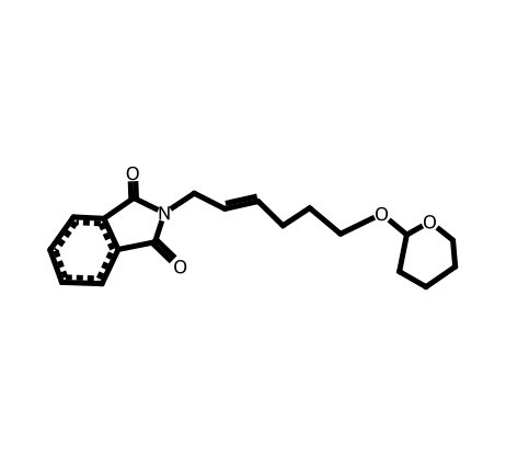 O=C1c2ccccc2C(=O)N1CC=CCCCOC1CCCCO1